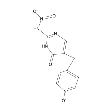 O=c1[nH]c(N[N+](=O)[O-])ncc1Cc1cc[n+]([O-])cc1